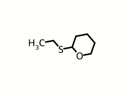 CCSC1CCCCO1